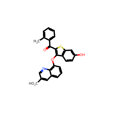 Cc1ccccc1C(=O)c1sc2cc(O)ccc2c1Oc1cccc2cc(C(=O)O)cnc12